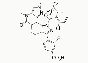 CN(C(=O)C1CCc2c(-c3ccc(C(=O)O)cc3F)nn(C(=O)c3c(Cl)cccc3C3(C(F)(F)F)CC3)c2C1)c1cnn(C)c1